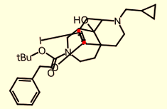 CC(C)(C)OC(=O)N1CCC23CCN(CC4CC4)C(Cc4cc(I)c(OCc5ccccc5)cc42)C3(O)CC1